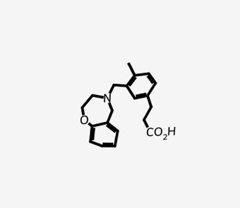 Cc1ccc(CCC(=O)O)cc1CN1CCOc2ccccc2C1